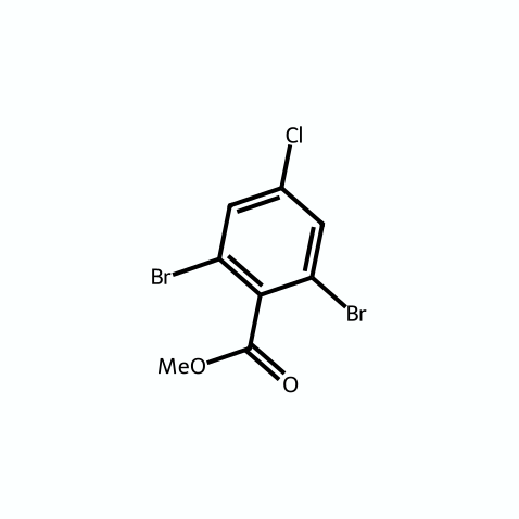 COC(=O)c1c(Br)cc(Cl)cc1Br